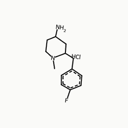 CN1CCC(N)CC1Cc1ccc(F)cc1.Cl